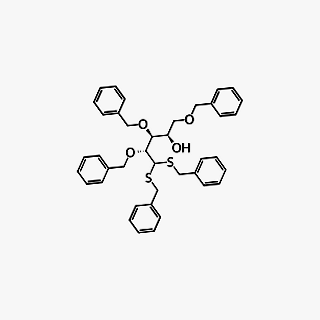 O[C@H](COCc1ccccc1)[C@H](OCc1ccccc1)[C@@H](OCc1ccccc1)C(SCc1ccccc1)SCc1ccccc1